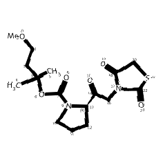 COCCC(C)(C)OC(=O)N1CCC[C@@H]1C(=O)CN1C(=O)CSC1=O